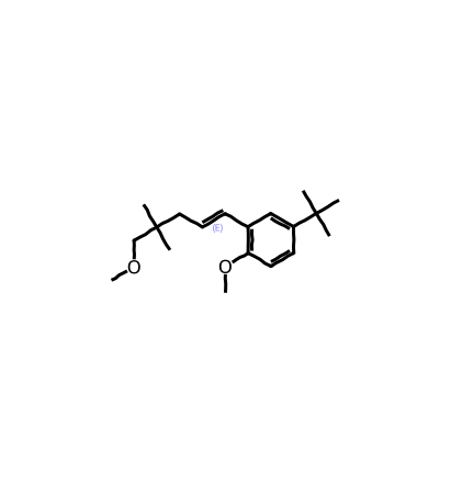 COCC(C)(C)C/C=C/c1cc(C(C)(C)C)ccc1OC